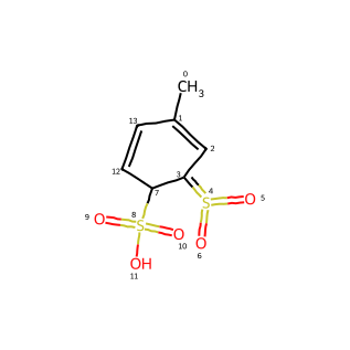 CC1=CC(=S(=O)=O)C(S(=O)(=O)O)C=C1